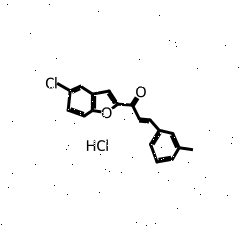 Cc1cccc(/C=C/C(=O)c2cc3cc(Cl)ccc3o2)c1.Cl